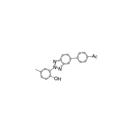 CC(=O)c1ccc(-c2ccc3nn(-c4cc(C)ccc4O)nc3c2)cc1